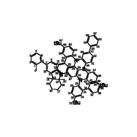 Cc1ccccc1-c1ccc2c(c1)C1(C)CCCCC1(C)N2c1cc2c3c(c1)N(c1ccc(C(C)(C)C)cc1-c1ccccc1)c1cc(C(C)(C)C)ccc1B3c1ccc(-c3ccccc3)cc1N2c1ccc(C(C)(C)C)cc1-c1ccccc1